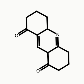 O=C1CCCC2N=C3CCCC(=O)C3C=C12